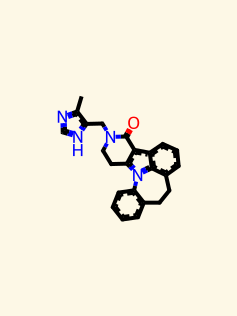 Cc1nc[nH]c1CN1CCc2c(c3cccc4c3n2-c2ccccc2CC4)C1=O